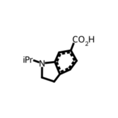 CC(C)N1CCc2ccc(C(=O)O)cc21